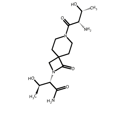 C[C@@H](O)[C@H](N)C(=O)N1CCC2(CC1)CN([C@H](C(N)=O)[C@@H](C)O)C2=O